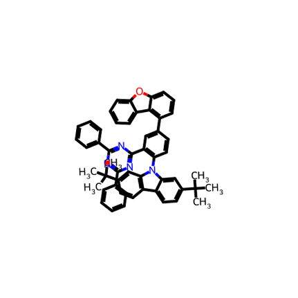 CC(C)(C)c1ccc2c3ccc(C(C)(C)C)cc3n(-c3ccc(-c4cccc5oc6ccccc6c45)cc3-c3nc(-c4ccccc4)nc(-c4ccccc4)n3)c2c1